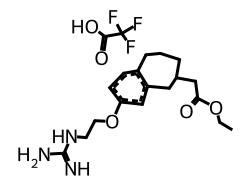 CCOC(=O)CC1CCCc2ccc(OCCNC(=N)N)cc2C1.O=C(O)C(F)(F)F